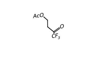 CC(=O)OCCC(=O)C(F)(F)F